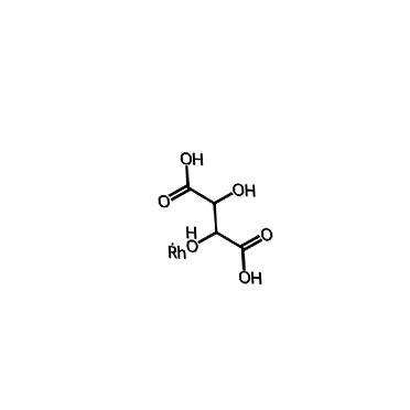 O=C(O)C(O)C(O)C(=O)O.[Rh]